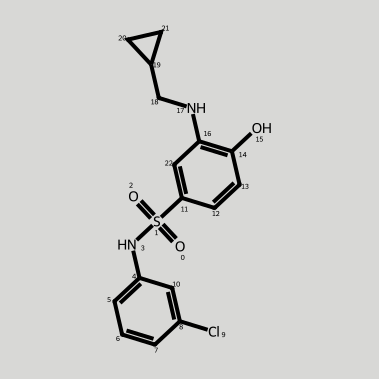 O=S(=O)(Nc1cccc(Cl)c1)c1ccc(O)c(NCC2CC2)c1